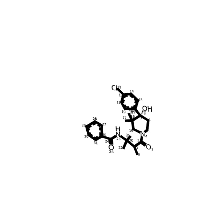 CC(C(=O)N1CC[C@](O)(c2ccc(Cl)cc2)C(C)(C)C1)C(C)(C)NC(=O)c1ccccc1